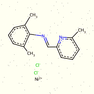 Cc1cccc(C=Nc2c(C)cccc2C)n1.[Cl-].[Cl-].[Ni+2]